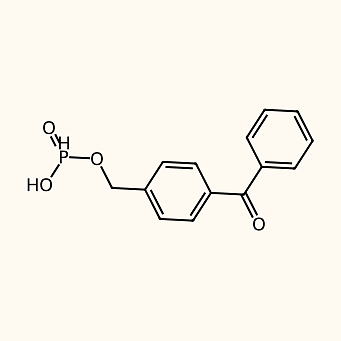 O=C(c1ccccc1)c1ccc(CO[PH](=O)O)cc1